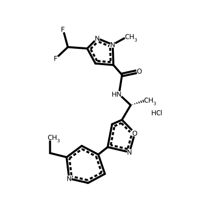 CCc1cc(-c2cc([C@@H](C)NC(=O)c3cc(C(F)F)nn3C)on2)ccn1.Cl